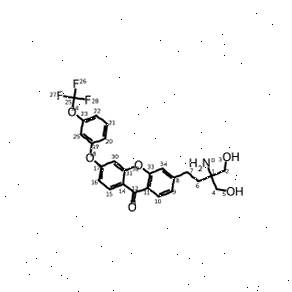 NC(CO)(CO)CCc1ccc2c(=O)c3ccc(Oc4cccc(OC(F)(F)F)c4)cc3oc2c1